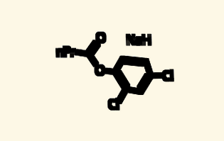 CCCC(=O)Oc1ccc(Cl)cc1Cl.[NaH]